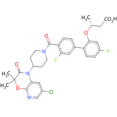 C[C@H](CC(=O)O)Oc1cc(F)ccc1-c1ccc(C(=O)N2CCC(N3C(=O)C(C)(C)Oc4ncc(Cl)cc43)CC2)c(F)c1